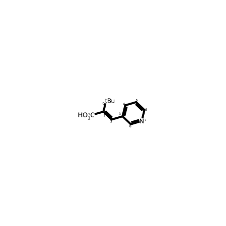 CC(C)(C)/C(=C\c1cccnc1)C(=O)O